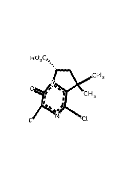 CC1(C)C[C@@H](C(=O)O)n2c1c(Cl)nc(Cl)c2=O